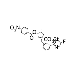 CCOC(=O)[C@@]1(Cc2cccc(-c3ncc(F)cn3)c2)C[C@@H](C)[C@@H](OC(=O)c2ccc([N+](=O)[O-])cc2)C1